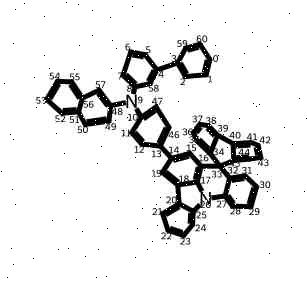 c1ccc(-c2cccc(N(c3ccc(-c4cc5c6c(c4)c4ccccc4n6-c4ccccc4C54c5ccccc5-c5ccccc54)cc3)c3ccc4ccccc4c3)c2)cc1